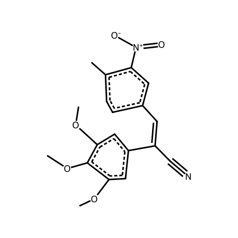 COc1cc(/C(C#N)=C\c2ccc(C)c([N+](=O)[O-])c2)cc(OC)c1OC